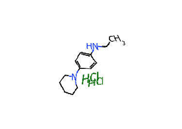 CCNc1ccc(N2CCCCC2)cc1.Cl.Cl